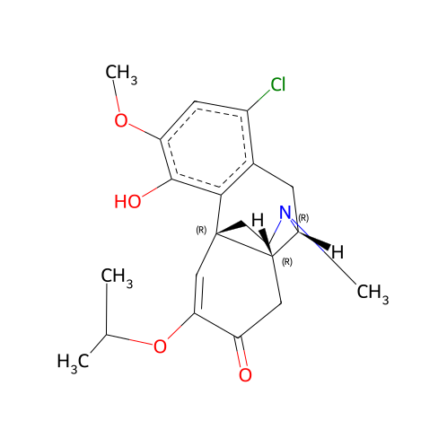 COc1cc(Cl)c2c(c1O)[C@@]13C=C(OC(C)C)C(=O)C[C@H]1[C@@H](C2)N(C)CC3